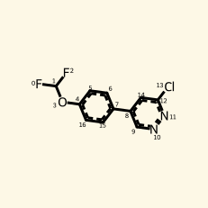 FC(F)Oc1ccc(-c2cnnc(Cl)c2)cc1